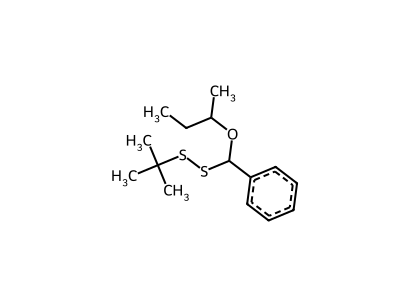 CCC(C)OC(SSC(C)(C)C)c1ccccc1